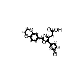 O=C(O)Cc1nc(-c2ccc3c(c2)OCCO3)oc1-c1ccc(Cl)s1